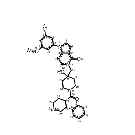 COc1cc(Cl)cc(-n2ccc3c(=O)n(CC4(O)CCN(C(=O)[C@@H]5CCNC[C@H]5c5ccccc5)CC4)cnc32)c1